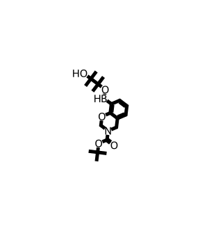 CC(C)(C)OC(=O)N1COc2c(BOC(C)(C)C(C)(C)O)cccc2C1